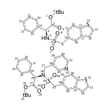 CC(C)(C)OC(=O)[C@@H](NS(=O)(=O)Cc1ccc2sccc2c1)c1ccccc1.CC(C)(C)OC(=O)[C@@H](c1ccccc1)N(Cc1cccnc1)S(=O)(=O)Cc1ccc2sccc2c1